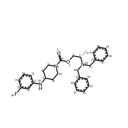 C[C@@H](COC(=O)N1CCC(Nc2cccc(F)c2)CC1)N(Cc1ccccc1)Cc1ccccc1